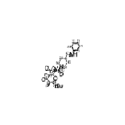 C=C1C(=O)[C@](C)(C(=O)OC)[C@@H](CC(=O)N2CCC(CNc3ccccc3)CC2)O[C@H]1C(C)(C)C